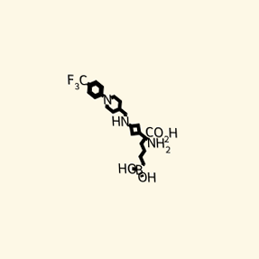 NC(CCCCB(O)O)(C(=O)O)C1CC(NCC2CCN(c3ccc(C(F)(F)F)cc3)CC2)C1